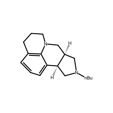 CCCCN1C[C@@H]2CN3CCCc4cccc(c43)[C@@H]2C1